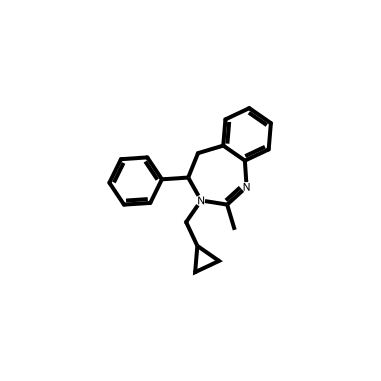 CC1=Nc2ccccc2CC(c2ccccc2)N1CC1CC1